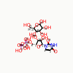 O=c1ccn([C@@H]2O[C@H](COP(=O)(O)OP(=O)(O)O)[C@@H](O)[C@H]2O)c(=O)[nH]1.OC[C@H]1O[C@H](O)[C@H](O)[C@@H](O)[C@H]1O